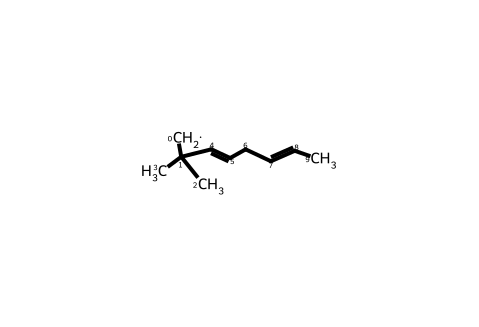 [CH2]C(C)(C)C=CCC=CC